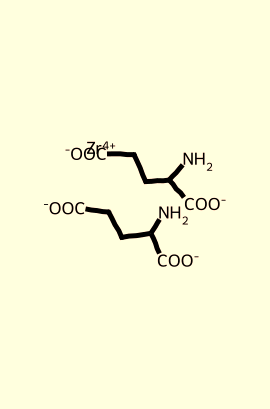 NC(CCC(=O)[O-])C(=O)[O-].NC(CCC(=O)[O-])C(=O)[O-].[Zr+4]